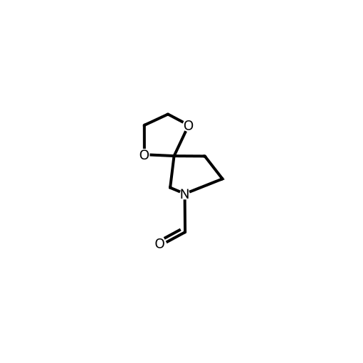 O=CN1CCC2(C1)OCCO2